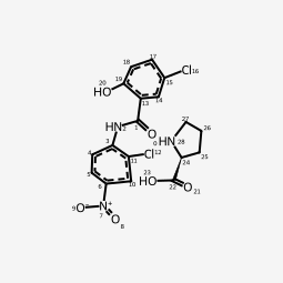 O=C(Nc1ccc([N+](=O)[O-])cc1Cl)c1cc(Cl)ccc1O.O=C(O)[C@@H]1CCCN1